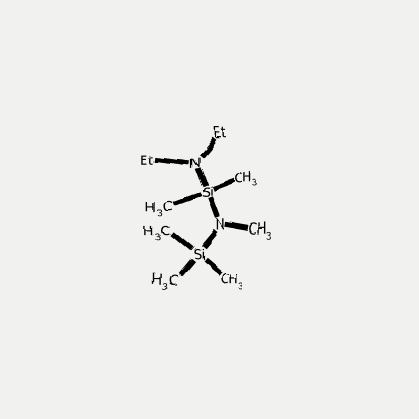 CCN(CC)[Si](C)(C)N(C)[Si](C)(C)C